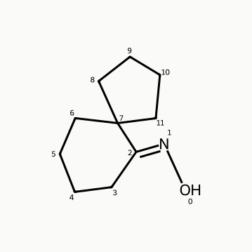 ON=C1CCCCC12CCCC2